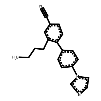 BCCCc1cc(C#N)ccc1-c1ccc(-n2ccnc2)cc1